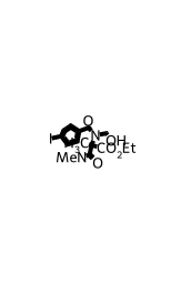 CCOC(=O)C(C)(C(=O)NC)N(CO)C(=O)c1ccc(I)cc1